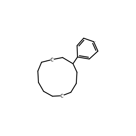 [c]1ccc(C2CCCCCCCCCCC2)cc1